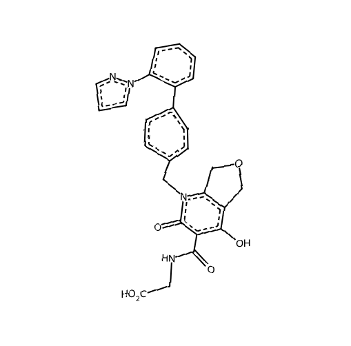 O=C(O)CNC(=O)c1c(O)c2c(n(Cc3ccc(-c4ccccc4-n4cccn4)cc3)c1=O)COC2